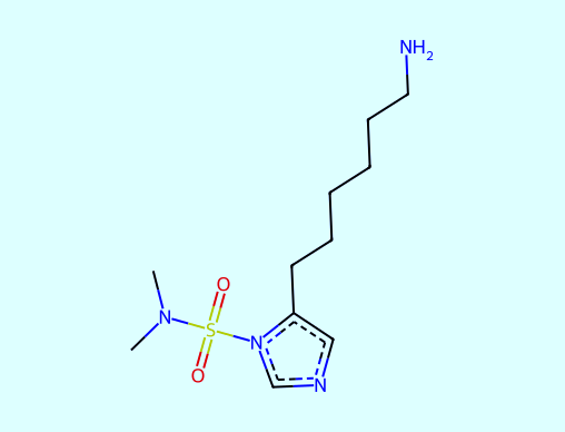 CN(C)S(=O)(=O)n1cncc1CCCCCCN